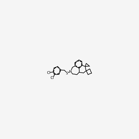 Clc1ccc(CSN2CCC3CC4(CCC4)C4(CC4)c4cccc(c43)C2)cc1Cl